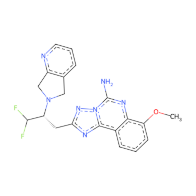 COc1cccc2c1nc(N)n1nc(C[C@H](C(F)F)N3Cc4cccnc4C3)nc21